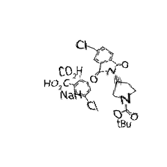 CC(C)(C)OC(=O)N1CC[C@@H](N2C(=O)c3ccc(Cl)cc3C2=O)C1.O=C(O)c1ccc(Cl)cc1C(=O)O.[NaH]